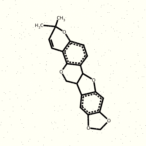 CC1(C)C=Cc2c(ccc3c2OCC2c4cc5c(cc4OC32)OCO5)O1